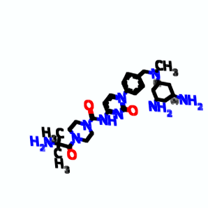 CN(Cc1ccc(-n2ccc(NC(=O)N3CCN(C(=O)C(C)(C)N)CC3)nc2=O)cc1)[C@@H]1CC(N)C[C@H](N)C1